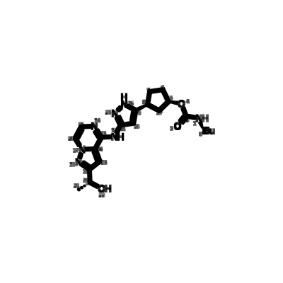 CC[C@H](C)NC(=O)O[C@@H]1CC[C@H](c2cc(Nc3nccn4nc([C@@H](C)O)cc34)n[nH]2)C1